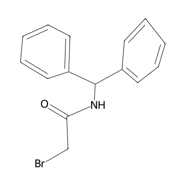 O=C(CBr)NC(c1ccccc1)c1ccccc1